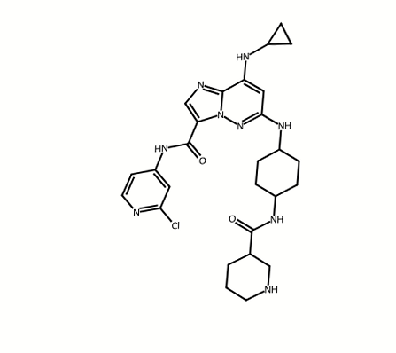 O=C(Nc1ccnc(Cl)c1)c1cnc2c(NC3CC3)cc(NC3CCC(NC(=O)C4CCCNC4)CC3)nn12